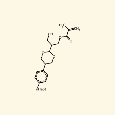 C=C(C)C(=O)OCC(CO)C1OCC(c2ccc(CCCCCCC)cc2)CO1